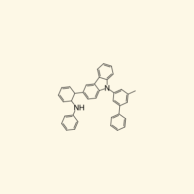 Cc1cc(-c2ccccc2)cc(-n2c3ccccc3c3cc(C4C=CC=CC4Nc4ccccc4)ccc32)c1